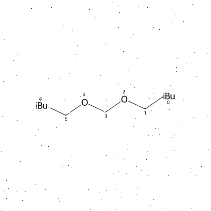 CCC(C)COCOCC(C)CC